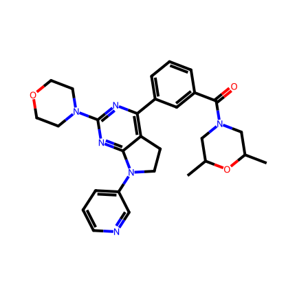 CC1CN(C(=O)c2cccc(-c3nc(N4CCOCC4)nc4c3CCN4c3cccnc3)c2)CC(C)O1